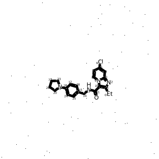 CCc1nc2cc(Cl)ccn2c1C(=O)NCc1ccc(N2CCCC2)cc1